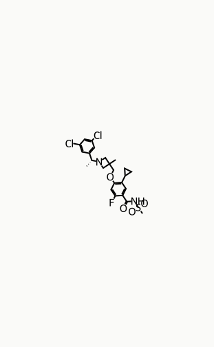 C[C@H](c1cc(Cl)cc(Cl)c1)N1CC(C)(COc2cc(F)c(C(=O)NS(C)(=O)=O)cc2C2CC2)C1